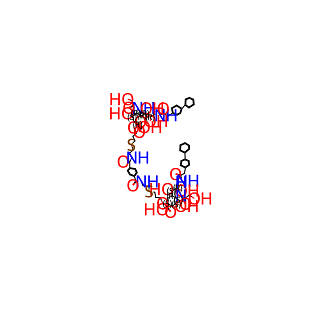 O=C(Cc1ccc(-c2ccccc2)cc1)NC[C@@H](O)[C@@H](O)[C@@H]1C[C@@](OCCCSCCNC(=O)c2ccc(C(=O)NCCSCCCO[C@]3(C(=O)O)C[C@H](O)[C@@H](NC(=O)CO)[C@H]([C@H](O)[C@H](O)CNC(=O)Cc4ccc(-c5ccccc5)cc4)O3)cc2)(C(=O)O)C[C@H](O)[C@H]1NC(=O)CO